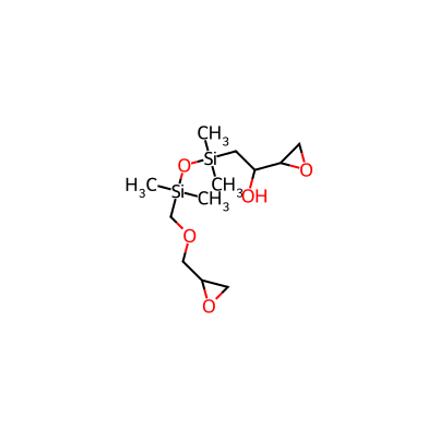 C[Si](C)(COCC1CO1)O[Si](C)(C)CC(O)C1CO1